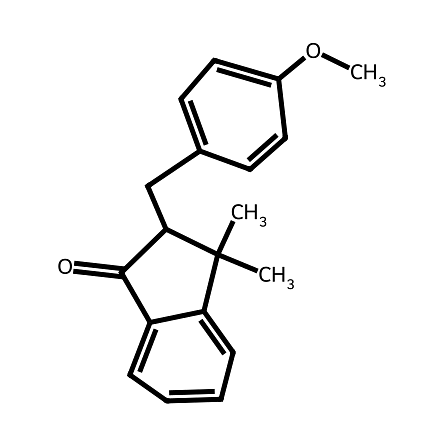 COc1ccc(CC2C(=O)c3ccccc3C2(C)C)cc1